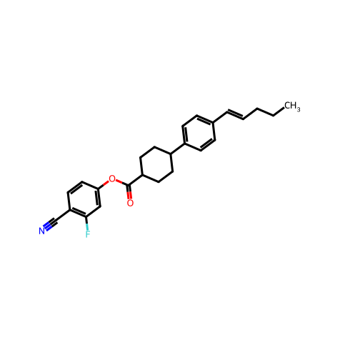 CCC/C=C/c1ccc(C2CCC(C(=O)Oc3ccc(C#N)c(F)c3)CC2)cc1